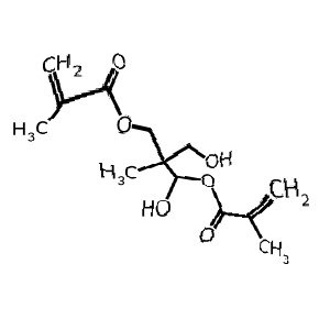 C=C(C)C(=O)OCC(C)(CO)C(O)OC(=O)C(=C)C